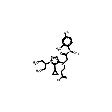 CCC(CC)n1nnc([C@H](CCC(=O)O)CC(=O)N(C)c2ccc(C)cc2C)c1C1CC1